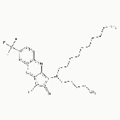 CCCCCCCCCCC(CCCCC)n1c2nc3ccc(C(F)(F)F)cc3[nH]c-2c(Cl)c1=O